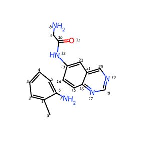 Cc1ccccc1N.NCC(=O)Nc1ccc2ncncc2c1